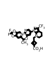 C[C@H](Oc1cc(-n2nc(C(F)(F)F)c3c2N(CC24CC(C(=O)O)(C2)C4)CCC3)cnn1)c1cc2c(cn1)OC(F)(F)O2